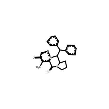 C=C1c2c(C)c(=O)cnn2C(C(c2ccccc2)c2ccccc2)C2CCCN12